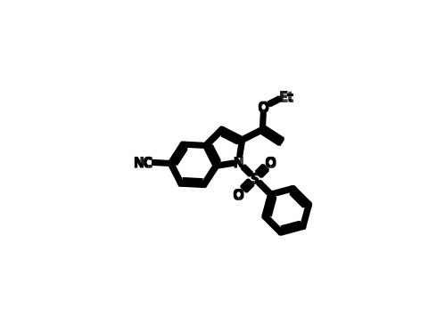 C=C(OCC)c1cc2cc(C#N)ccc2n1S(=O)(=O)c1ccccc1